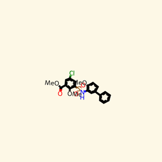 COC(=O)c1cc(Cl)cc(S(=O)(=O)Nc2cc(-c3ccccc3)ccc2OC)c1OC